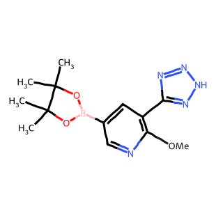 COc1ncc(B2OC(C)(C)C(C)(C)O2)cc1-c1nn[nH]n1